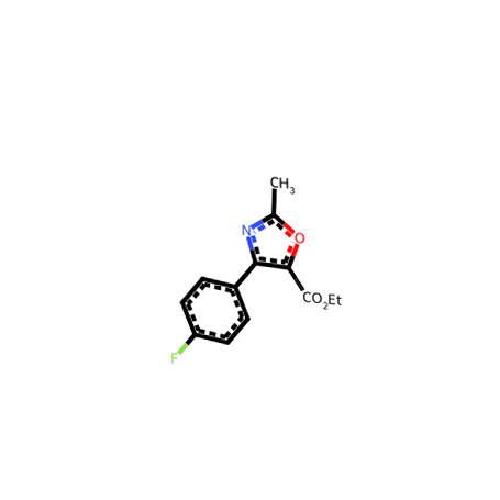 CCOC(=O)c1oc(C)nc1-c1ccc(F)cc1